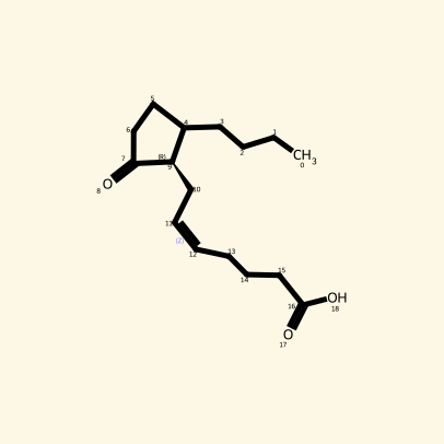 CCCCC1CCC(=O)[C@@H]1C/C=C\CCCC(=O)O